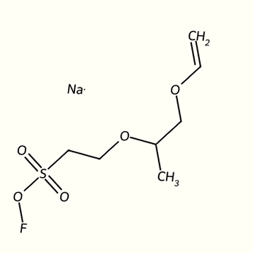 C=COCC(C)OCCS(=O)(=O)OF.[Na]